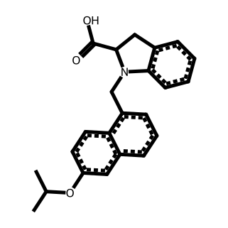 CC(C)Oc1ccc2c(CN3c4ccccc4CC3C(=O)O)cccc2c1